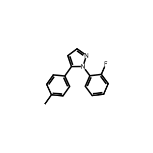 Cc1ccc(-c2ccnn2-c2ccccc2F)cc1